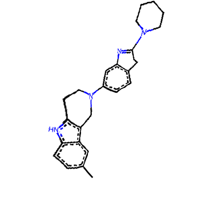 Cc1ccc2[nH]c3c(c2c1)CN(c1ccc2c(c1)N=C(N1CCCCC1)C2)CC3